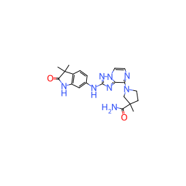 CC1(C(N)=O)CCN(c2nccn3nc(Nc4ccc5c(c4)NC(=O)C5(C)C)nc23)C1